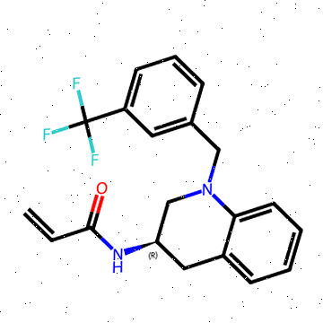 C=CC(=O)N[C@@H]1Cc2ccccc2N(Cc2cccc(C(F)(F)F)c2)C1